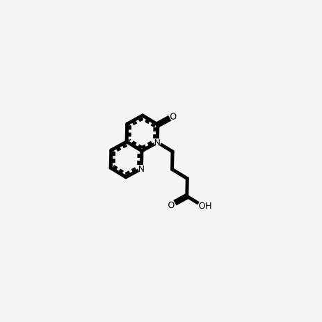 O=C(O)CCCn1c(=O)ccc2cccnc21